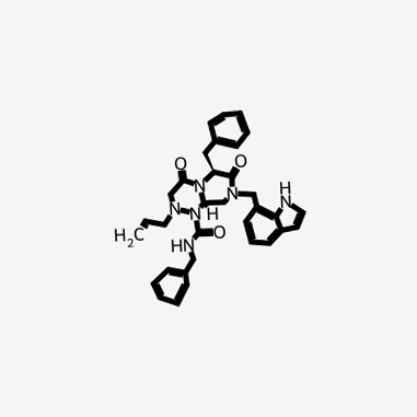 C=CCN1CC(=O)N2[C@@H](Cc3ccccc3)C(=O)N(Cc3cccc4cc[nH]c34)C[C@@H]2N1C(=O)NCc1ccccc1